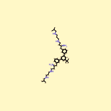 CC(C)CNCCCNCCC(N)Cc1cccc(-c2cc(-c3cccc(CC(N)CCNCCCNCC(C)C)c3)cc(C(C)(C)C)c2)c1